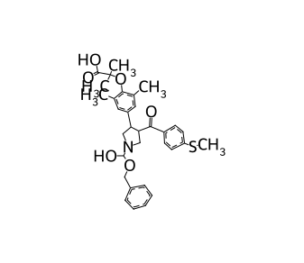 CSc1ccc(C(=O)C2CN(C(O)OCc3ccccc3)CC2c2cc(C)c(OC(C)(C)C(=O)O)c(C)c2)cc1